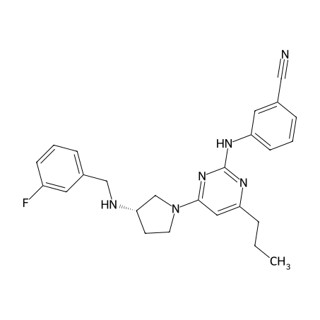 CCCc1cc(N2CC[C@H](NCc3cccc(F)c3)C2)nc(Nc2cccc(C#N)c2)n1